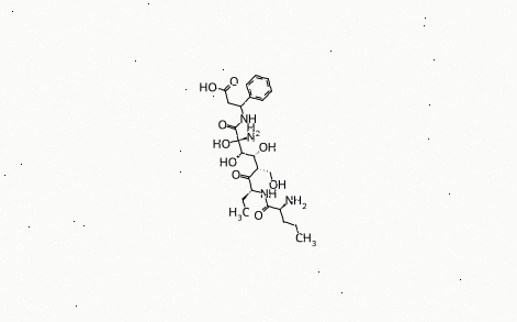 CCC[C@H](N)C(=O)N[C@@H](CC)C(=O)[C@@H](CO)[C@@H](O)[C@@H](O)[C@](N)(O)C(=O)NC(CC(=O)O)c1ccccc1